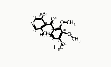 COc1cc(C)c(C(=O)c2c(C)cncc2Br)c(OC)c1OC